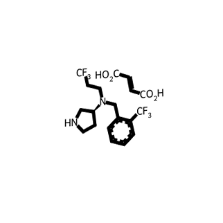 FC(F)(F)CCN(Cc1ccccc1C(F)(F)F)[C@H]1CCNC1.O=C(O)C=CC(=O)O